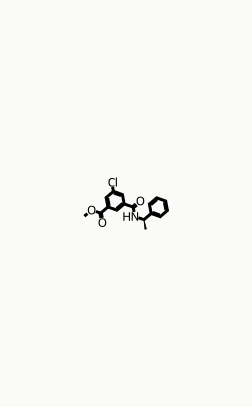 COC(=O)c1cc(Cl)cc(C(=O)N[C@H](C)c2ccccc2)c1